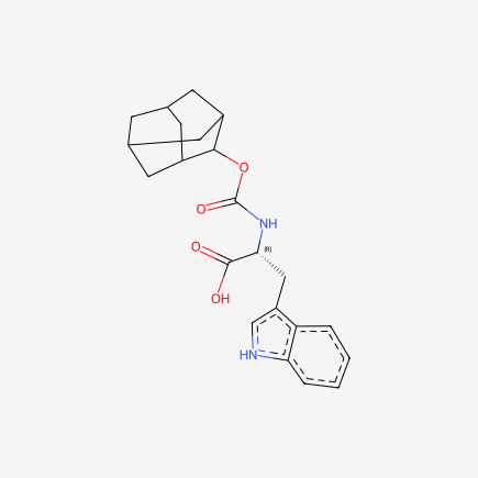 O=C(N[C@H](Cc1c[nH]c2ccccc12)C(=O)O)OC1C2CC3CC(C2)CC1C3